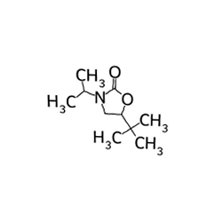 CC(C)N1CC(C(C)(C)C)OC1=O